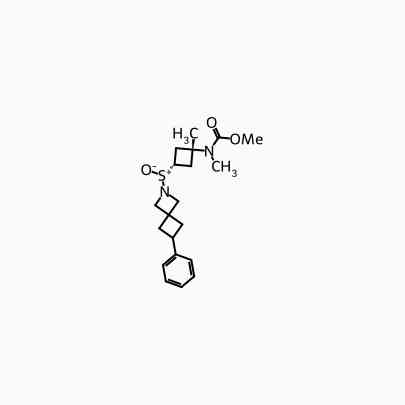 COC(=O)N(C)[C@]1(C)C[C@H]([S+]([O-])N2CC3(CC(c4ccccc4)C3)C2)C1